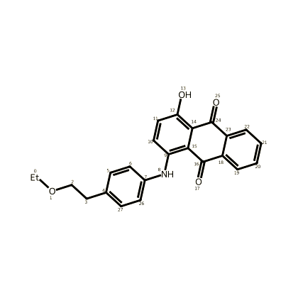 CCOCCc1ccc(Nc2ccc(O)c3c2C(=O)c2ccccc2C3=O)cc1